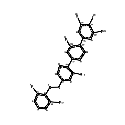 Fc1cc(COc2c(F)cccc2F)ccc1-c1ccc(-c2cc(F)c(F)c(F)c2)c(F)c1